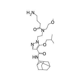 COCCN(CCn1ncc(C(=O)NC2C3CC4CC(C3)CC2C4)c1OCC(C)C)C(=O)CCCN